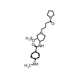 CNc1ccc(C(=O)NC2CCN(CCCC(=O)N3CCCC3)CC2OC)cc1